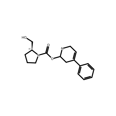 O=C(OC1CC(c2ccccc2)=CC[N]1)N1CCC[C@H]1CO